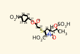 C[C@H](OS(=O)(=O)O)[C@@H]1C(=O)N2C(C(=O)O)=C(SC=CC(=O)OCc3ccc([N+](=O)[O-])cc3)C[C@H]12